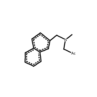 CC(=O)CN(C)Cc1ccc2ccccc2c1